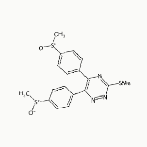 CSc1nnc(-c2ccc([S+](C)[O-])cc2)c(-c2ccc([S+](C)[O-])cc2)n1